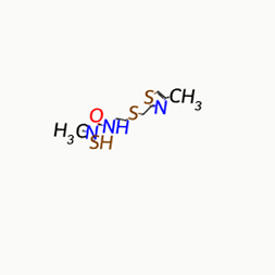 Cc1csc(CSCCNC(=O)N(C)S)n1